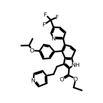 CCOC(=O)c1[nH]c2ccc(-c3ccc(C(F)(F)F)cn3)c(-c3ccc(OC(C)C)cc3)c2c1CCc1ccncc1